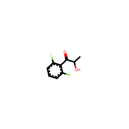 [CH2]C(O)C(=O)c1c(F)cccc1F